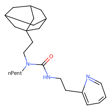 CCCCCN(CCC12CC3CC(CC(C3)C1)C2)C(=O)NCCc1ccccn1